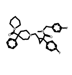 CN(Cc1ccc(F)cc1)C(=O)C1(c2ccc(F)cc2)CC1CN1CCC(C(=O)N2CCCCC2)(c2ccccc2)CC1